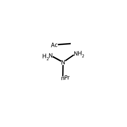 CC(C)=O.CCCN(N)N